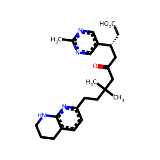 Cc1ncc([C@H](CC(=O)O)CC(=O)CC(C)(C)CCc2ccc3c(n2)NCCC3)cn1